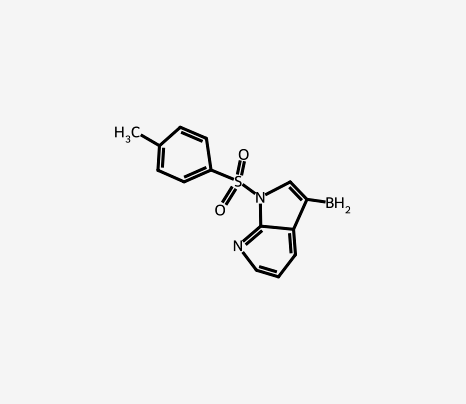 Bc1cn(S(=O)(=O)c2ccc(C)cc2)c2ncccc12